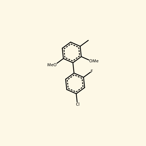 COc1ccc(C)c(OC)c1-c1ccc(Cl)cc1F